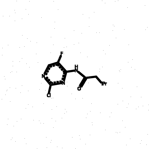 CC(C)CC(=O)Nc1nc(Cl)ncc1F